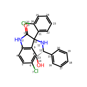 O=C1Nc2ccc(Cl)cc2C1(N[C@@H](CO)c1ccccc1)c1ccccc1Cl